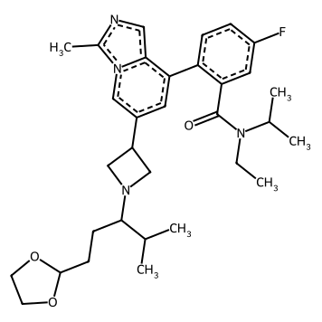 CCN(C(=O)c1cc(F)ccc1-c1cc(C2CN(C(CCC3OCCO3)C(C)C)C2)cn2c(C)ncc12)C(C)C